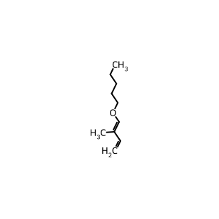 C=C/C(C)=C/OCCCCC